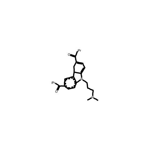 CC(C)C(=O)C1=CC=C2C(C1)c1cc(C(=O)C(C)C)ccc1N2CCCN(C)C